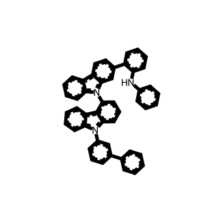 c1ccc(Nc2ccccc2-c2ccc3c4ccccc4n(-c4cccc5c4c4ccccc4n5-c4cccc(-c5ccccc5)c4)c3c2)cc1